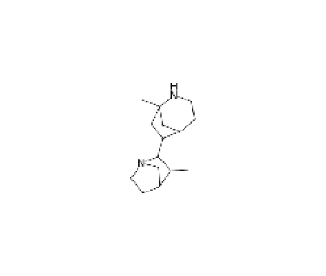 CC1C2CCN(C2)C1C1CC2(C)CC1CCN2